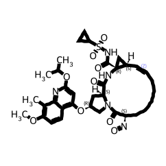 COc1ccc2c(O[C@@H]3C[C@H]4C(=O)N[C@]5(C(=O)NS(=O)(=O)C6CC6)C[C@H]5/C=C\CCCCC[C@H](N=O)C(=O)N4C3)cc(OC(C)C)nc2c1C